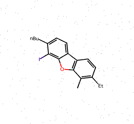 CCCCc1ccc2c(oc3c(C)c(CC)ccc32)c1I